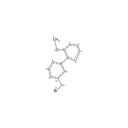 COc1ccccc1-c1cccc(CBr)c1